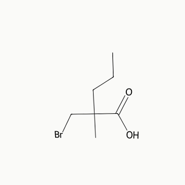 CCCC(C)(CBr)C(=O)O